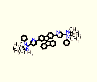 CC1(C)N=C(c2ccc(-c3ccc4c(c3)C3(c5ccccc5-c5ccccc53)c3cc(-c5ccc(C6=NC(C)(C)C(C)(C)N6c6ccccc6)cn5)ccc3-4)nc2)N(c2ccccc2)C1(C)C